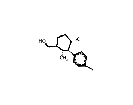 C[C@@H]1[C@@H](CO)CC[C@H](O)[C@H]1c1ccc(F)cc1